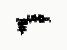 CC(C)N(CC(=O)NC[C@H]1CCN(c2ccc(C(F)(F)F)cc2)C1)S(=O)(=O)c1ccc(F)cc1